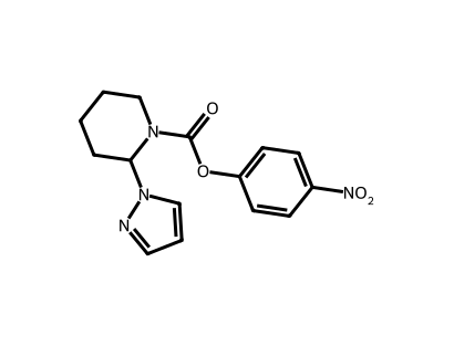 O=C(Oc1ccc([N+](=O)[O-])cc1)N1CCCCC1n1cccn1